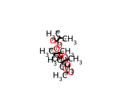 CC(=O)OOC(C)(OOC(C)(OOC(=O)C(C)C)C(C)C)C(C)C